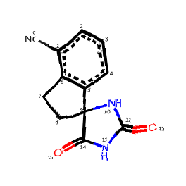 N#Cc1cccc2c1CCC21NC(=O)NC1=O